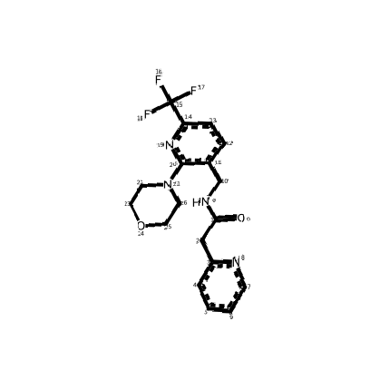 O=C(Cc1ccccn1)NCc1ccc(C(F)(F)F)nc1N1CCOCC1